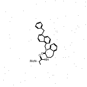 CN[C@@H](C)C(=O)N[C@H]1CCc2ccccc2N(Cc2cccc3c(Cc4ccccc4)cccc23)C1=O